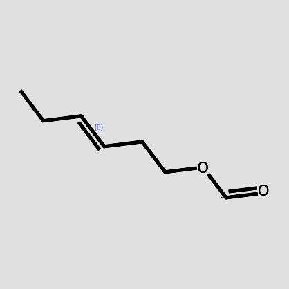 CC/C=C/CCO[C]=O